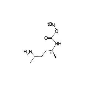 CC(N)CC[C@H](C)NC(=O)OC(C)(C)C